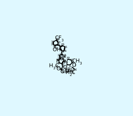 C=CCOC1(C)CCN(c2c([C@H](OC(C)(C)C)C(=O)OC)c(C)nc3cc(-c4cccc(-c5cc(C(F)(F)F)ccc5O)c4)nn23)CC1